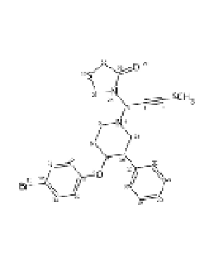 CC#CC(N1CCC(Oc2ccc(Br)cc2)C(c2ccccc2)C1)N1CSCC1=O